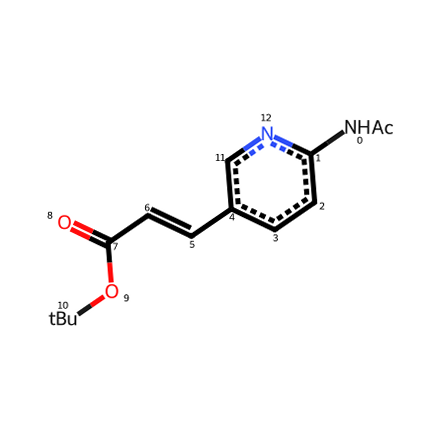 CC(=O)Nc1ccc(C=CC(=O)OC(C)(C)C)cn1